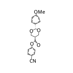 COc1ccc([C@H]2OC[C@H](C(=O)Oc3ccc(C#N)cc3)CO2)cc1